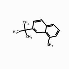 CC(C)(C)c1ccc2cccc(N)c2c1